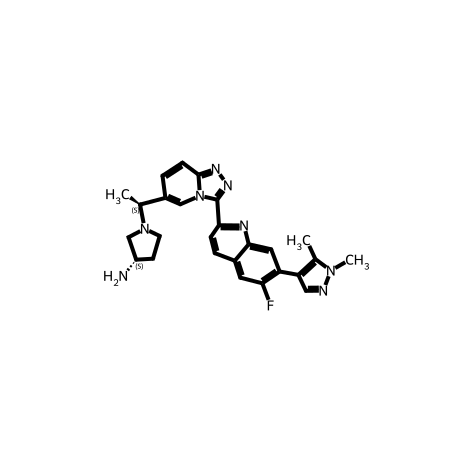 Cc1c(-c2cc3nc(-c4nnc5ccc([C@H](C)N6CC[C@H](N)C6)cn45)ccc3cc2F)cnn1C